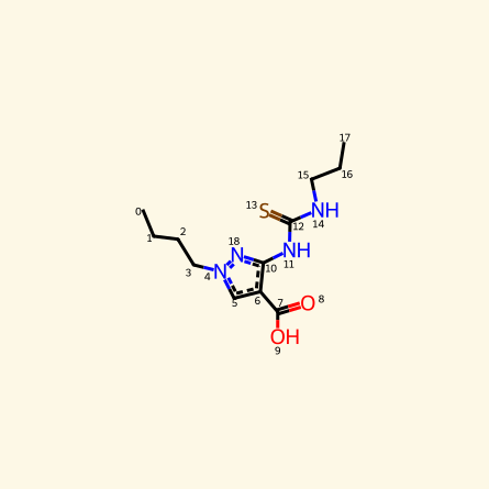 CCCCn1cc(C(=O)O)c(NC(=S)NCCC)n1